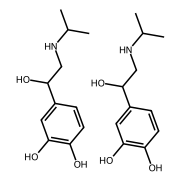 CC(C)NCC(O)c1ccc(O)c(O)c1.CC(C)NCC(O)c1ccc(O)c(O)c1